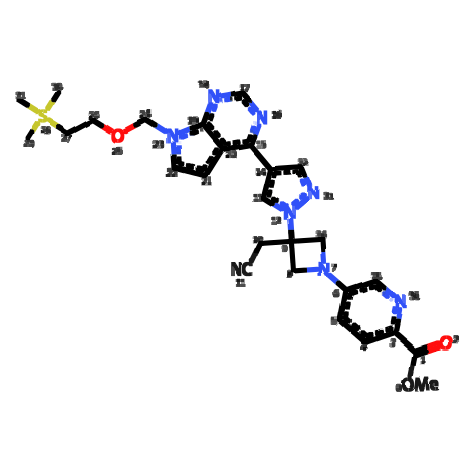 COC(=O)c1ccc(N2CC(CC#N)(n3cc(-c4ncnc5c4ccn5COCCS(C)(C)C)cn3)C2)cn1